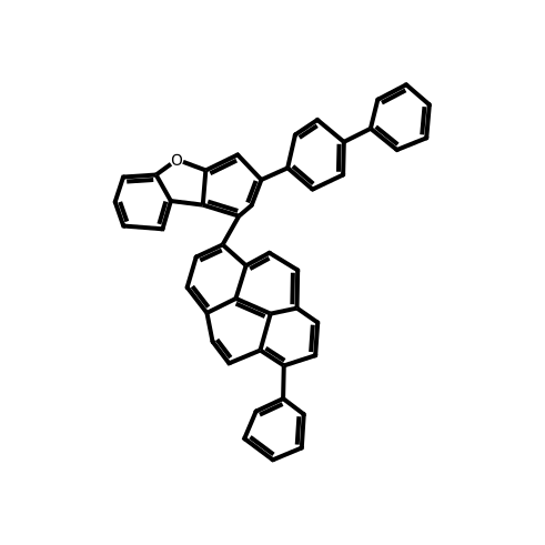 c1ccc(-c2ccc(-c3cc(-c4ccc5ccc6c(-c7ccccc7)ccc7ccc4c5c76)c4c(c3)oc3ccccc34)cc2)cc1